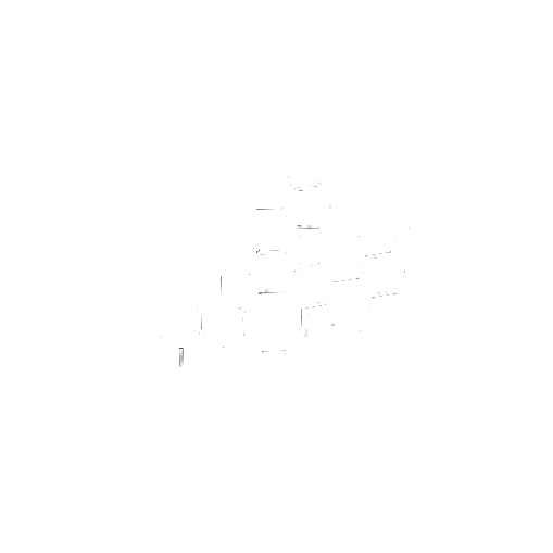 C=CC(=O)N1CC(C)N2c3nc(=O)n(-c4c(C)ccnc4C(C)C)c4c(Cl)c(-c5c(O)ccc(F)c5F)c(F)c(c34)NCCC2C1